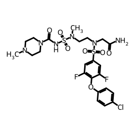 CN1CCN(C(=O)NS(=O)(=O)N(C)CCN(CC(N)=O)S(=O)(=O)c2cc(F)c(Oc3ccc(Cl)cc3)c(F)c2)CC1